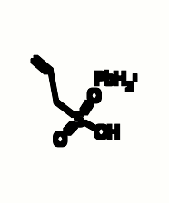 C=CCS(=O)(=O)O.[PbH2]